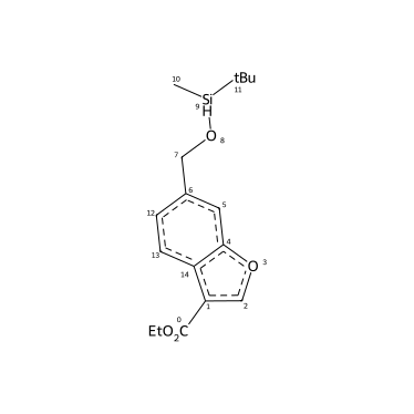 CCOC(=O)c1coc2cc(CO[SiH](C)C(C)(C)C)ccc12